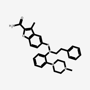 Cc1c(C(N)=O)oc2ccc(SN(CCc3ccccc3)c3ccccc3N3CCN(C)CC3)cc12